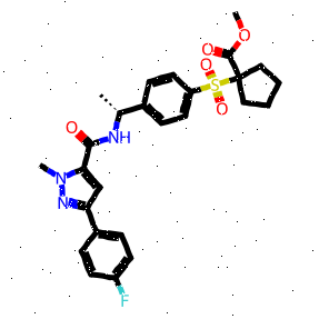 COC(=O)C1(S(=O)(=O)c2ccc([C@@H](C)NC(=O)c3cc(-c4ccc(F)cc4)nn3C)cc2)CCCC1